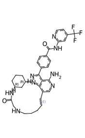 Nc1ncc2c3c1c(-c1ccc(C(=O)Nc4cc(C(F)(F)F)ccn4)cc1)nn3[C@@H]1CCC[C@H](C1)NC(=O)CNCCC/C=C/2